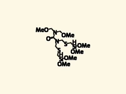 COCN(COC)C(=O)N(CSC[SiH](OC)OC)CSC[SiH](OC)OC